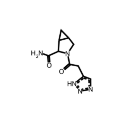 NC(=O)C1C2CC2CN1C(=O)Cc1cnn[nH]1